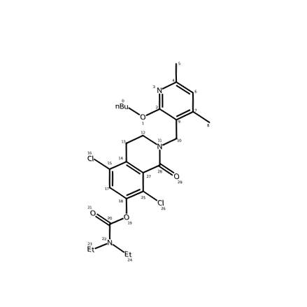 CCCCOc1nc(C)cc(C)c1CN1CCc2c(Cl)cc(OC(=O)N(CC)CC)c(Cl)c2C1=O